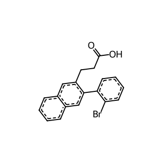 O=C(O)CCc1cc2ccccc2cc1-c1ccccc1Br